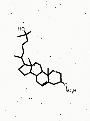 CC(CCCC(C)(C)O)C1CCC2C3CC=C4CC(OS(=O)(=O)O)CCC4(C)C3CCC12C